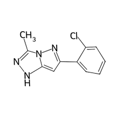 Cc1n[nH]c2cc(-c3ccccc3Cl)nn12